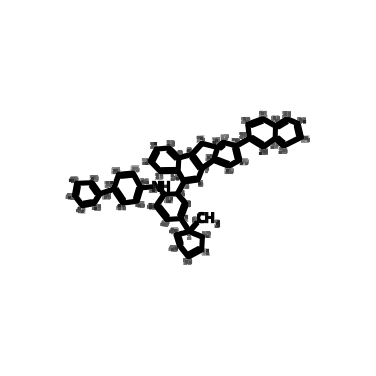 CC1(C2=CC(c3cc4c(c5ccccc35)Cc3cc(-c5ccc6ccccc6c5)ccc3-4)C(Nc3ccc(-c4ccccc4)cc3)C=C2)C=CC=CC1